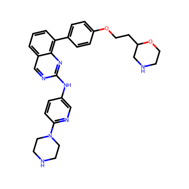 c1cc(-c2ccc(OCCC3CNCCO3)cc2)c2nc(Nc3ccc(N4CCNCC4)nc3)ncc2c1